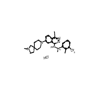 Cc1c([C@@H](C)Nc2nnc(C)c3ccc(N4CCC5(CCN(C)C5)CC4)cc23)cccc1C(F)(F)F.Cl